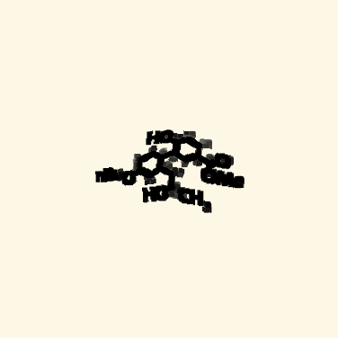 CCCCOc1ccc(-c2cc(C(=O)OC)ccc2O)c(C[C@H](C)O)c1